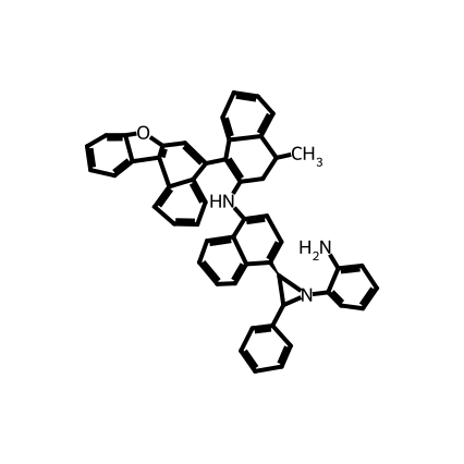 CC1CC(Nc2ccc([C@@H]3C(c4ccccc4)N3c3ccccc3N)c3ccccc23)=C(c2cc3oc4ccccc4c3c3ccccc23)c2ccccc21